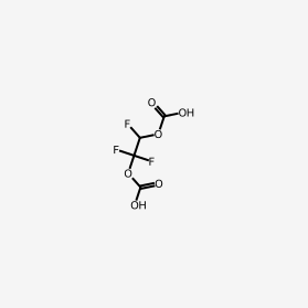 O=C(O)OC(F)C(F)(F)OC(=O)O